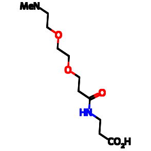 CNCCOCCOCCC(=O)NCCC(=O)O